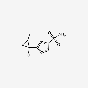 NS(=O)(=O)c1cc(C2(O)CC2I)cs1